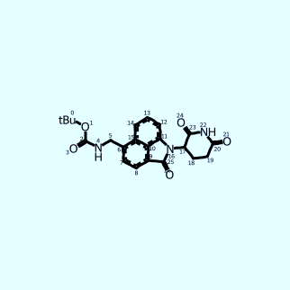 CC(C)(C)OC(=O)NCc1ccc2c3c(cccc13)N(C1CCC(=O)NC1=O)C2=O